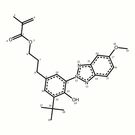 C=C(C)C(=O)OCCCc1cc(-n2nc3ccc(OC)cc3n2)c(O)c(C(C)(C)C)c1